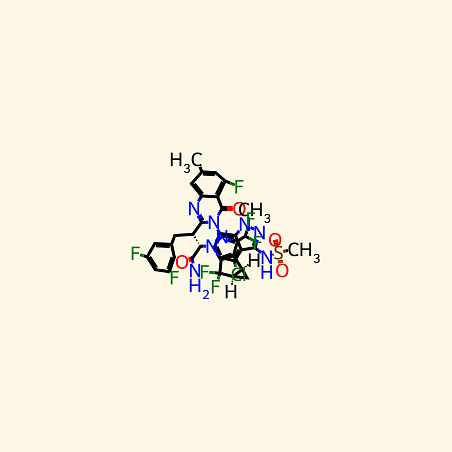 Cc1cc(F)c2c(=O)n(-c3ccc(Cl)c4c(NS(C)(=O)=O)nn(C)c34)c(C(Cc3cc(F)cc(F)c3)[C@@H](C(N)=O)n3nc(C(F)F)c4c3C(F)(F)[C@@H]3C[C@H]43)nc2c1